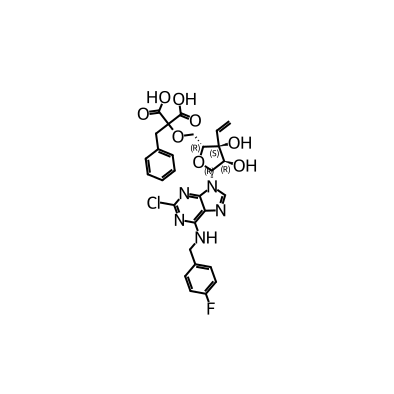 C=C[C@@]1(O)[C@@H](COC(Cc2ccccc2)(C(=O)O)C(=O)O)O[C@@H](n2cnc3c(NCc4ccc(F)cc4)nc(Cl)nc32)[C@@H]1O